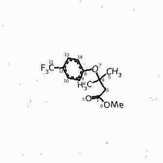 COC(=O)CC(C)(C)Oc1ccc(C(F)(F)F)cc1